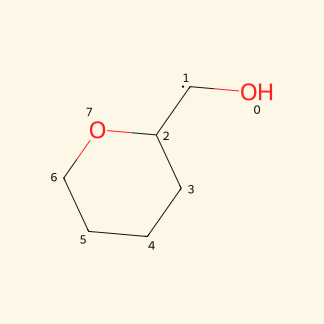 O[CH]C1CCCCO1